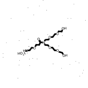 O=C(O)NCCOCCC(=O)N(CCOCCOCCO)CCOCCOCCO